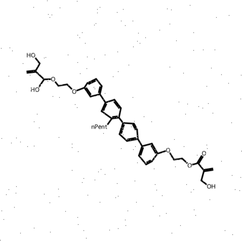 C=C(CO)C(=O)OCCOc1cccc(-c2ccc(-c3ccc(-c4cccc(OCCOC(O)C(=C)CO)c4)cc3CCCCC)cc2)c1